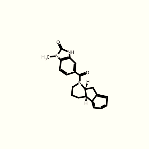 Cn1c(=O)[nH]c2cc(C(=O)N3CCC[C@H]4c5ccccc5C[C@H]43)ccc21